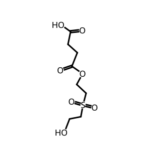 O=C(O)CCC(=O)OCCS(=O)(=O)CCO